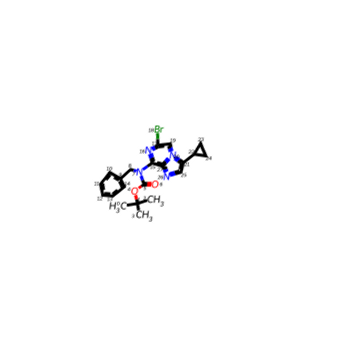 CC(C)(C)OC(=O)N(Cc1ccccc1)c1nc(Br)cn2c(C3CC3)cnc12